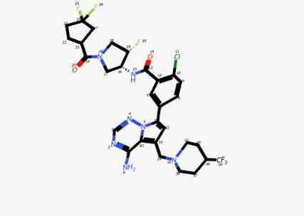 Nc1ncnn2c(-c3ccc(Cl)c(C(=O)N[C@@H]4CN(C(=O)C5CCC(F)(F)C5)C[C@@H]4F)c3)cc(CN3CCC(C(F)(F)F)CC3)c12